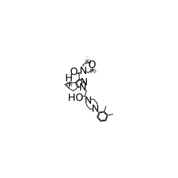 Cc1cccc(N2CCN(C(O)Cn3nc(C(=O)N4C[C@@H](C)O[C@@H](C)C4)c4c3CC3C[C@H]43)CC2)c1C